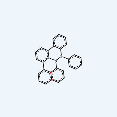 c1ccc(B2c3ccccc3-c3cccc(-c4ccccc4)c3N2c2ccccc2)cc1